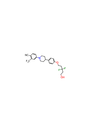 N#Cc1ccc(N2CCC(c3ccc(OCCC(F)(F)CCO)cc3)CC2)cc1C(F)(F)F